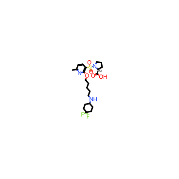 Cc1ccc(S(=O)(=O)N2CCC[C@H]2C(=O)O)c(OCCCCCNC2CCC(F)(F)CC2)n1